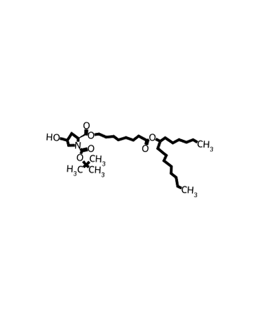 CCCCCCCCC(CCCCCC)OC(=O)CCCCCCCOC(=O)[C@@H]1CC(O)CN1C(=O)OC(C)(C)C